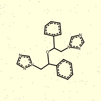 c1ccc(C(Cn2cncn2)OC(Cn2cncn2)c2ccccc2)cc1